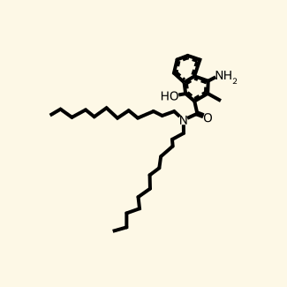 CCCCCCCCCCCCN(CCCCCCCCCCCC)C(=O)c1c(C)c(N)c2ccccc2c1O